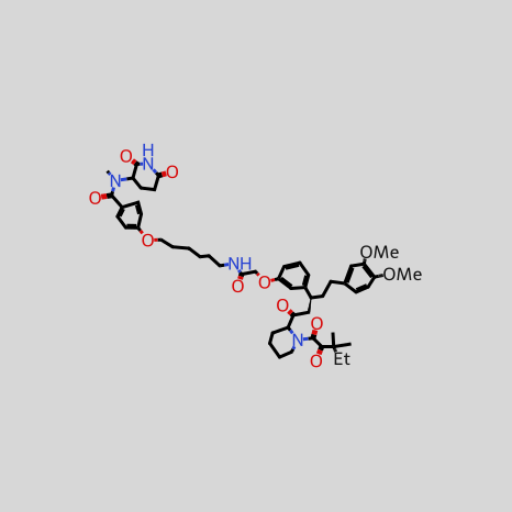 CCC(C)(C)C(=O)C(=O)N1CCCCC1C(=O)C[C@H](CCc1ccc(OC)c(OC)c1)c1cccc(OCC(=O)NCCCCCCOc2ccc(C(=O)N(C)C3CCC(=O)NC3=O)cc2)c1